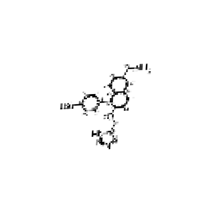 CC(C)(C)c1ccc(-c2c(OCc3nnn[nH]3)ccc3cc(CN)ccc23)cc1